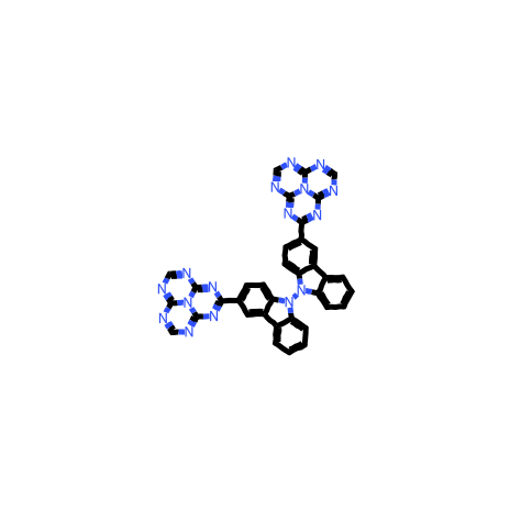 C1=NC2=NC=NC3=NC(c4ccc5c(c4)c4ccccc4n5-n4c5ccccc5c5cc(C6=NC7=NC=NC8=NC=NC(=N6)N87)ccc54)=NC(=N1)N23